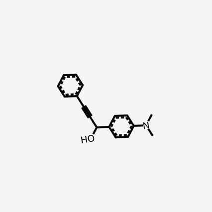 CN(C)c1ccc(C(O)C#Cc2ccccc2)cc1